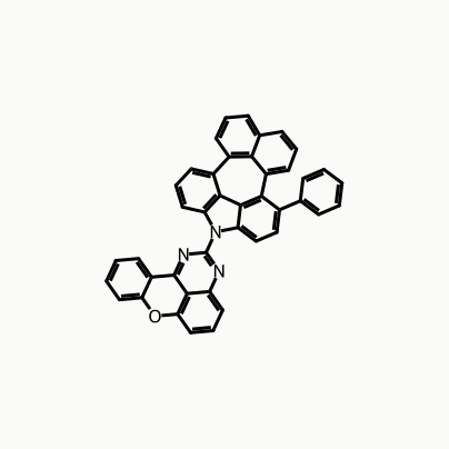 c1ccc(-c2ccc3c4c2-c2cccc5cccc(c25)-c2cccc(c24)n3-c2nc3c4c(cccc4n2)Oc2ccccc2-3)cc1